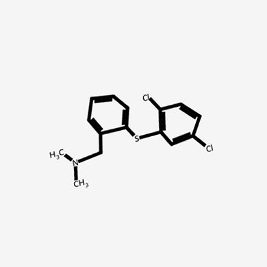 CN(C)Cc1ccccc1Sc1cc(Cl)ccc1Cl